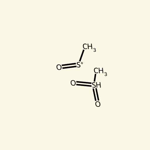 C[S+]=O.C[SH](=O)=O